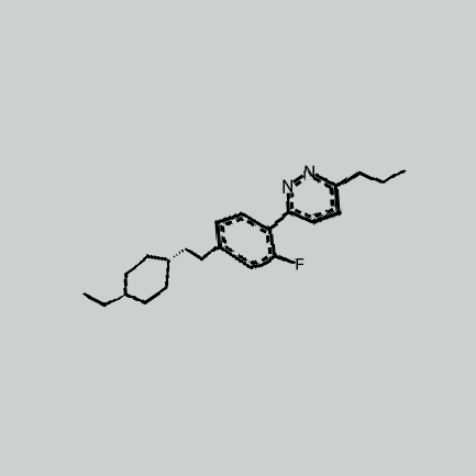 CCCc1ccc(-c2ccc(CC[C@H]3CC[C@H](CC)CC3)cc2F)nn1